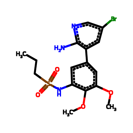 CCCS(=O)(=O)Nc1cc(-c2cc(Br)cnc2N)cc(OC)c1OC